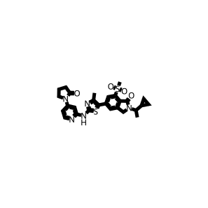 Cc1nc(Nc2cc(N3CCCC3=O)ccn2)sc1-c1cc2c(c(S(C)(=O)=O)c1)C(=O)N(C(C)C1CC1)C2